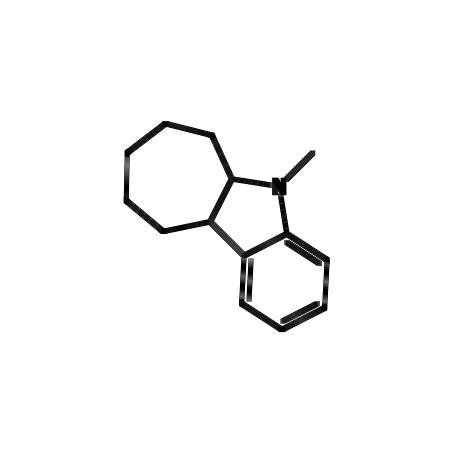 CN1c2ccccc2C2CCCCCC21